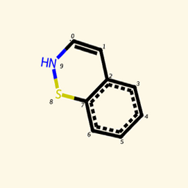 [C]1=Cc2ccccc2SN1